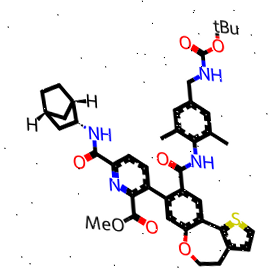 COC(=O)c1nc(C(=O)N[C@@H]2C[C@@H]3CC[C@H]2C3)ccc1-c1cc2c(cc1C(=O)Nc1c(C)cc(CNC(=O)OC(C)(C)C)cc1C)-c1sccc1CCO2